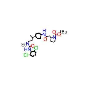 CCN(CCC(C)c1ccc(NC(=O)CC2CCCN2C(=O)OC(C)(C)C)cc1)C(=O)Nc1c(Cl)cccc1Cl